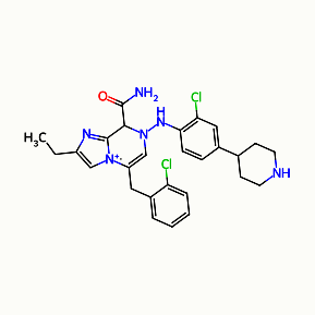 CCC1=C[N+]2C(Cc3ccccc3Cl)=CN(Nc3ccc(C4CCNCC4)cc3Cl)C(C(N)=O)C2=N1